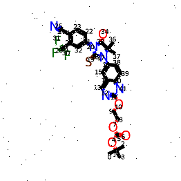 CC(C)(C)OC(=O)OCCOc1ncc2cc(N3C(=S)N(c4ccc(C#N)c(C(F)(F)F)c4)C(=O)C3(C)C)ccc2n1